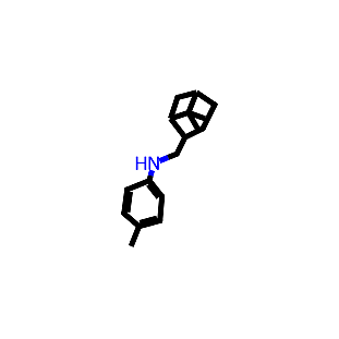 Cc1ccc(NCC2CCC3CC2C3(C)C)cc1